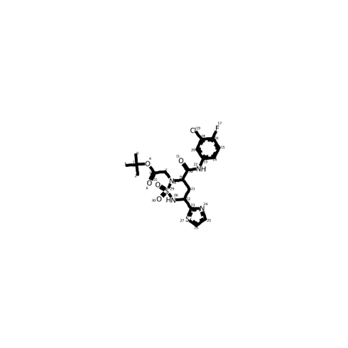 CC(C)(C)OC(=O)CN1C(C(=O)Nc2ccc(F)c(Cl)c2)CC(c2nccs2)NS1(=O)=O